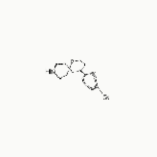 N#Cc1ccc(N2CCOC3(CCNCC3)C2)nc1